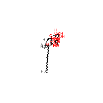 CCCCCCCCCCCCCCCCCC[C@H](C)[C@H](C[C@H]1C[C@H]1C[C@@H](O)[C@@H](CC)C(=O)OCC1OC(OC2OC(CO)C(O)C(O)C2O)C(O)C(O)C1O)OC